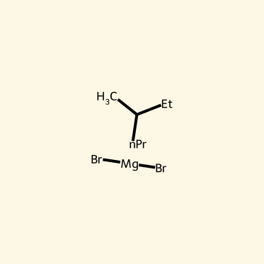 [Br][Mg][Br].[CH2]CCC(C)CC